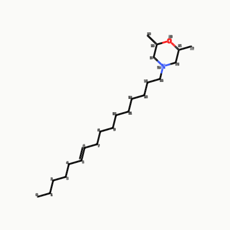 CCCCCC=CCCCCCCCCCN1CC(C)OC(C)C1